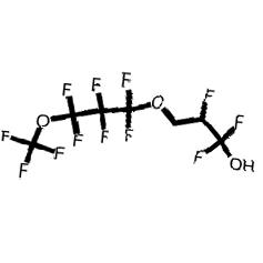 OC(F)(F)C(F)COC(F)(F)C(F)(F)C(F)(F)OC(F)(F)F